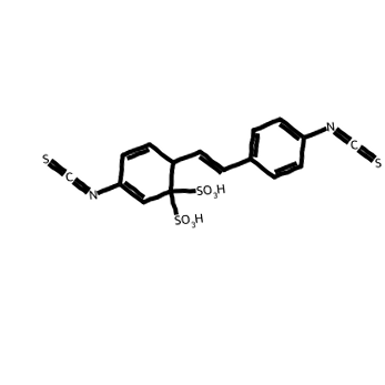 O=S(=O)(O)C1(S(=O)(=O)O)C=C(N=C=S)C=CC1C=Cc1ccc(N=C=S)cc1